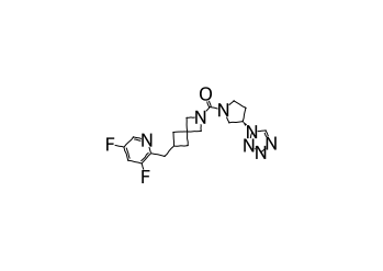 O=C(N1CC[C@@H](n2cnnn2)C1)N1CC2(CC(Cc3ncc(F)cc3F)C2)C1